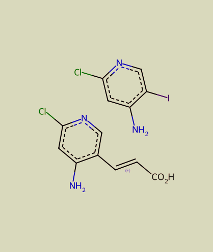 Nc1cc(Cl)ncc1/C=C/C(=O)O.Nc1cc(Cl)ncc1I